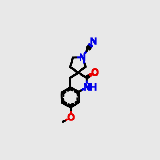 COc1ccc2c(c1)NC(=O)C1(CCN(C#N)C1)C2